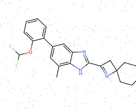 Cc1cc(-c2ccccc2OC(F)F)cc2nc(C3=NC4(CCCCC4)C3)[nH]c12